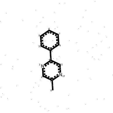 Cc1[c]nc(-c2ccccc2)cn1